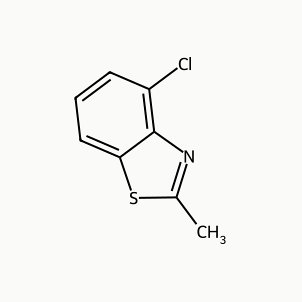 Cc1nc2c(Cl)cccc2s1